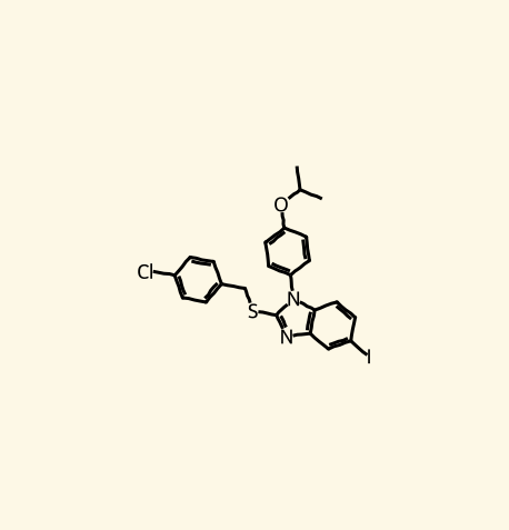 CC(C)Oc1ccc(-n2c(SCc3ccc(Cl)cc3)nc3cc(I)ccc32)cc1